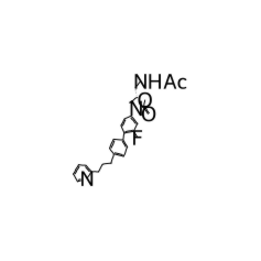 CC(=O)NC[C@H]1CN(c2ccc(-c3ccc(CCCc4ccccn4)cc3)c(F)c2)C(=O)O1